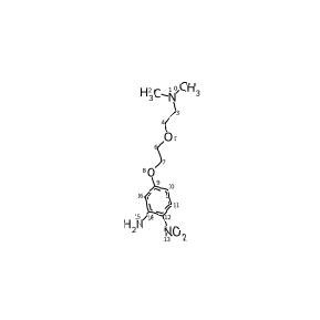 CN(C)CCOCCOc1ccc([N+](=O)[O-])c(N)c1